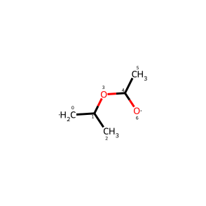 [CH2]C(C)OC(C)[O]